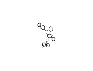 CCOC(=O)CCc1cc2c(cc1OC)C1CCCCC1C(c1ccc(OC)cc1)C2